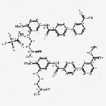 CCC(=O)c1cccc(-c2ccc(C(=O)Nc3ccc(OC)c(OCCN(C(C)C)C(C)C)c3)cc2)c1.COc1ccc(NC(=O)c2ccc(-c3cccc(C(=O)OC(C)C)c3)cc2)cc1OCCN(C(C)C)C(C)C.O=C(O)C(F)(F)F